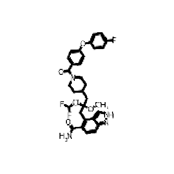 COC(Cc1c(C(N)=O)ccc2n[nH]cc12)(CC1CCN(C(=O)c2ccc(Oc3ccc(F)cc3)cc2)CC1)OC(F)F